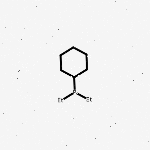 CCP(CC)C1CCCCC1